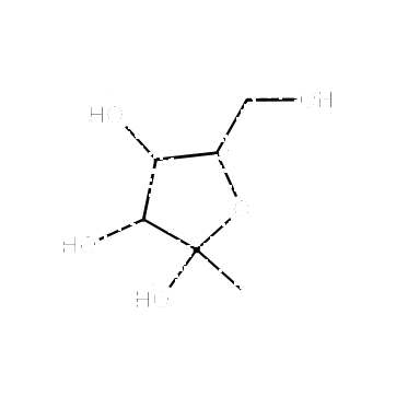 CC1(O)OC(CO)C(O)C1O